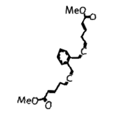 COC(=O)/C=C/CC=C=Cc1ccccc1C=C=CC/C=C/C(=O)OC